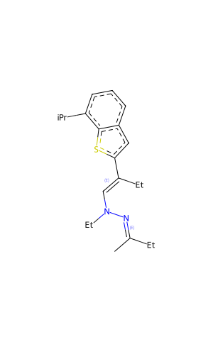 CC/C(=C\N(CC)/N=C(\C)CC)c1cc2cccc(C(C)C)c2s1